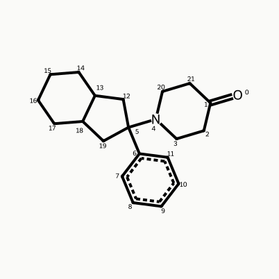 O=C1CCN(C2(c3ccccc3)CC3CCCCC3C2)CC1